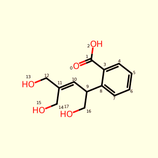 O=C(O)c1ccccc1C(C=C(CO)CO)CO